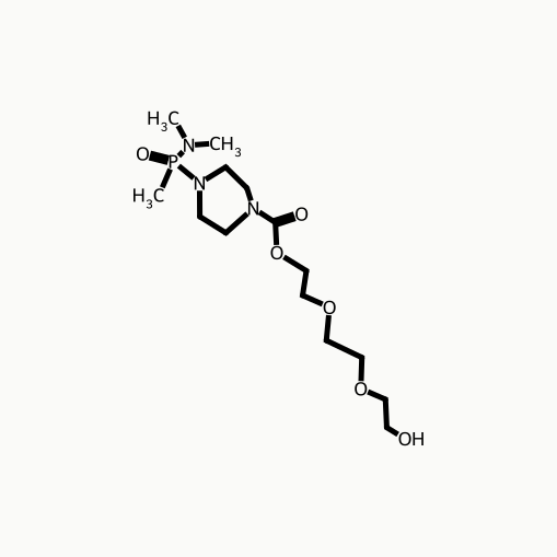 CN(C)P(C)(=O)N1CCN(C(=O)OCCOCCOCCO)CC1